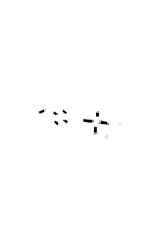 CCCCCCCCCC[N+](C)(CC)CCCCCCCCCC.CCOS(=O)(=O)[O-]